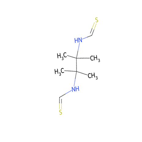 CC(C)(NC=S)C(C)(C)NC=S